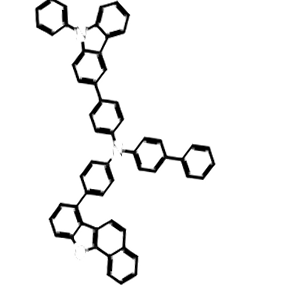 c1ccc(-c2ccc(N(c3ccc(-c4ccc5c(c4)c4ccccc4n5-c4ccccc4)cc3)c3ccc(-c4cccc5oc6c7ccccc7ccc6c45)cc3)cc2)cc1